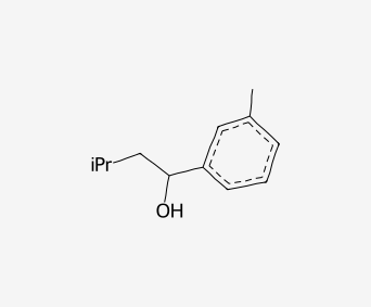 Cc1cccc(C(O)CC(C)C)c1